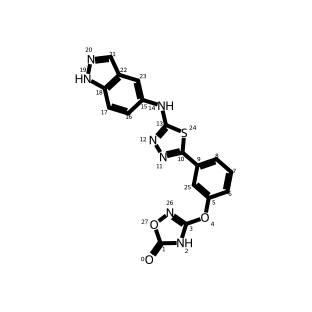 O=c1[nH]c(Oc2cccc(-c3nnc(Nc4ccc5[nH]ncc5c4)s3)c2)no1